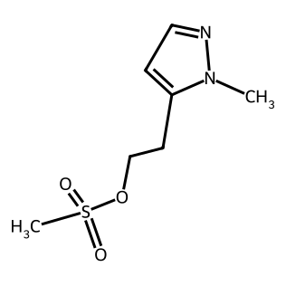 Cn1nccc1CCOS(C)(=O)=O